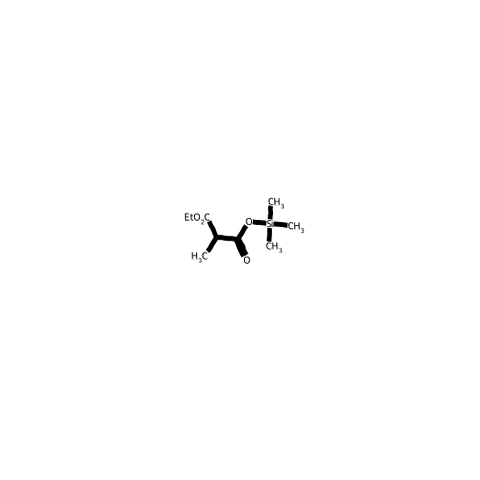 CCOC(=O)C(C)C(=O)O[Si](C)(C)C